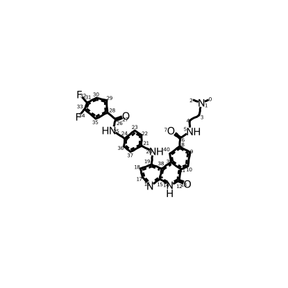 CN(C)CCNC(=O)c1ccc2c(=O)[nH]c3nccc(Nc4ccc(NC(=O)c5ccc(F)c(F)c5)cc4)c3c2c1